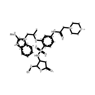 CCOC1OC(=O)CC1NS(=O)(=O)c1ccc(NC(=O)CN2CCOCC2)cc1OC(C)Cn1c(SC)nc2ccccc21